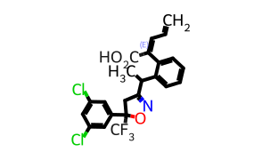 C=C/C=C(/C(=O)O)c1ccccc1C(C)C1=NOC(c2cc(Cl)cc(Cl)c2)(C(F)(F)F)C1